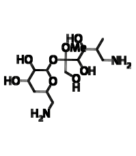 COC(CO)(OC1OC(CN)CC(O)C1O)C(O)C(O)C(C)CN